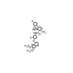 COc1cc2nccc(Oc3ccc(NC(=O)c4c(C)ncc(-c5ccc(F)cc5C)c4O)cc3F)c2nc1OC